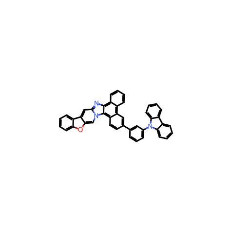 c1cc(-c2ccc3c(c2)c2ccccc2c2nc4cc5c(cn4c32)oc2ccccc25)cc(-n2c3ccccc3c3ccccc32)c1